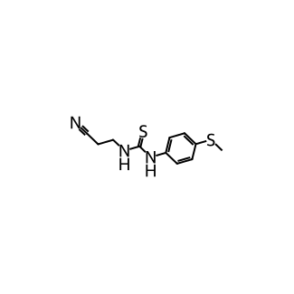 CSc1ccc(NC(=S)NCCC#N)cc1